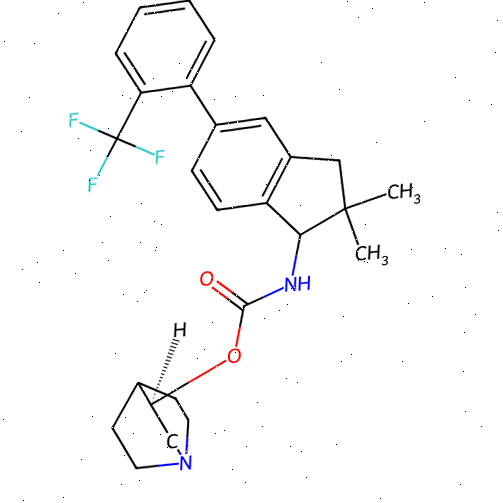 CC1(C)Cc2cc(-c3ccccc3C(F)(F)F)ccc2C1NC(=O)O[C@H]1CN2CCC1CC2